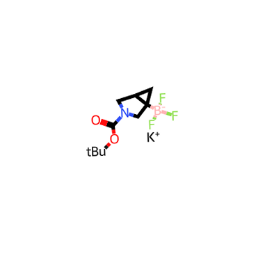 CC(C)(C)OC(=O)N1CC2CC2([B-](F)(F)F)C1.[K+]